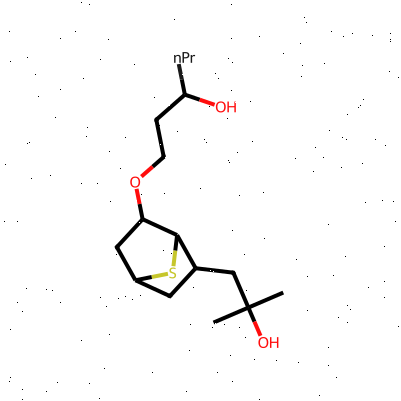 CCCC(O)CCOC1CC2CC(CC(C)(C)O)C1S2